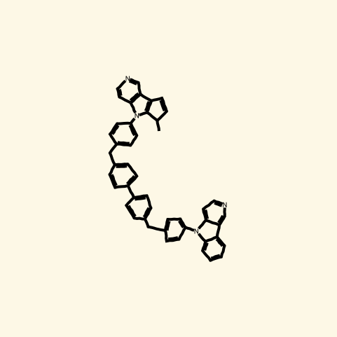 CC1C=Cc2c1n(-c1ccc(Cc3ccc(-c4ccc(Cc5ccc(-n6c7ccccc7c7cnccc76)cc5)cc4)cc3)cc1)c1ccncc21